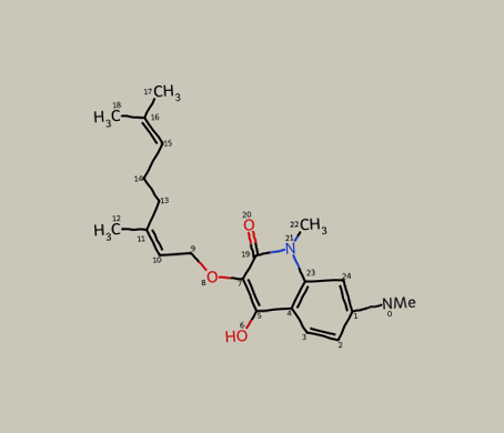 CNc1ccc2c(O)c(OCC=C(C)CCC=C(C)C)c(=O)n(C)c2c1